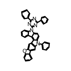 c1ccc(-c2nc(-c3ccccc3)nc(-n3c4ccccc4c4c5c6cc7oc8ccccc8c7cc6n(-c6ccccc6)c5ccc43)n2)cc1